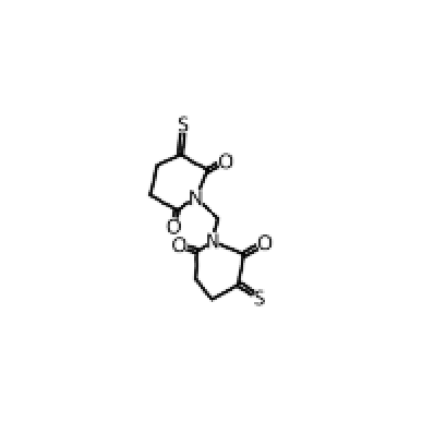 O=C1CCC(=S)C(=O)N1CN1C(=O)CCC(=S)C1=O